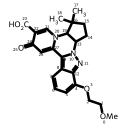 COCCOc1cccc2c3n(nc12)C1CCC(C)(C)C1n1cc(C(=O)O)c(=O)cc1-3